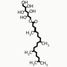 C/C(=C\CC(=O)OC[C@@H](O)[C@@H](O)[C@H](O)[C@H](O)CO)CCCC(C)CCCC(C)CCCC(C)C